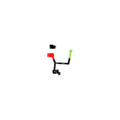 CC(O)CF.[Na]